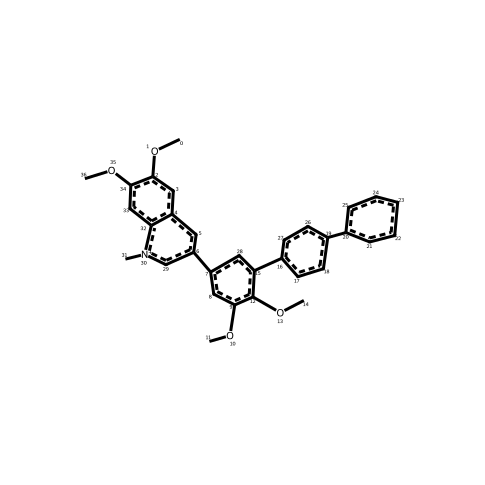 COc1cc2cc(-c3cc(OC)c(OC)c(-c4ccc(-c5ccccc5)cc4)c3)c[n+](C)c2cc1OC